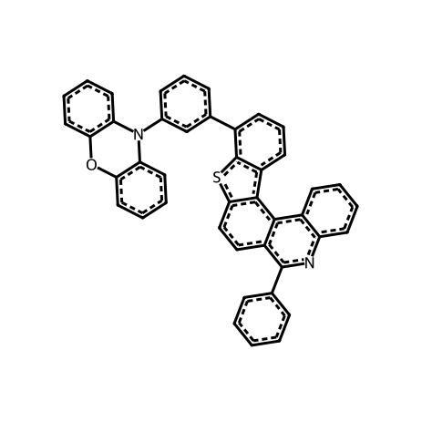 c1ccc(-c2nc3ccccc3c3c2ccc2sc4c(-c5cccc(N6c7ccccc7Oc7ccccc76)c5)cccc4c23)cc1